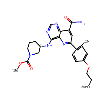 COCCOc1ccc(-c2cc(C(N)=O)c3ncnc(N[C@H]4CCCN(C(=O)OC(C)(C)C)C4)c3n2)c(C#N)c1